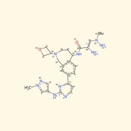 Cn1cc(Nc2nccc(-c3ccc4c(c3)CN(C3COC3)CCC4NC(=O)/C(N)=C/N(N)C(C)(C)C)n2)cn1